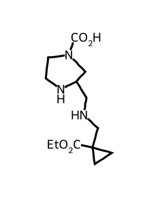 CCOC(=O)C1(CNCC2CN(C(=O)O)CCN2)CC1